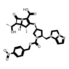 C[C@@H](O)[C@H]1C(=O)N2C(C(=O)O)=C(S[C@H]3C[C@@H](CN4CCn5nccc54)N(C(=O)OCc4ccc([N+](=O)[O-])cc4)C3)[C@H](C)[C@H]12